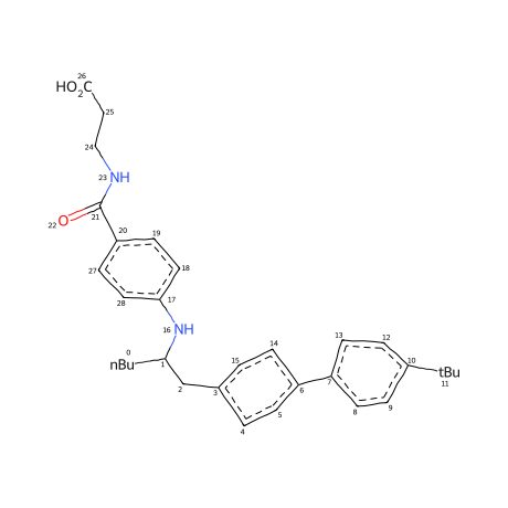 CCCCC(Cc1ccc(-c2ccc(C(C)(C)C)cc2)cc1)Nc1ccc(C(=O)NCCC(=O)O)cc1